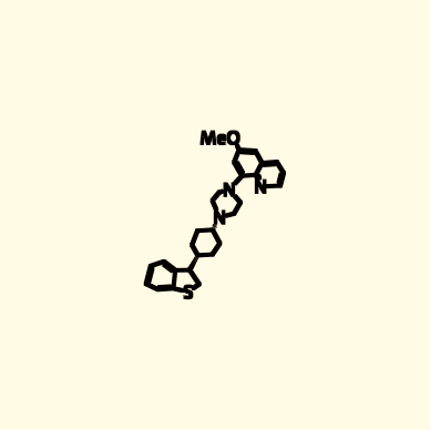 COc1cc(N2CCN([C@H]3CC[C@H](C4CSc5ccccc54)CC3)CC2)c2ncccc2c1